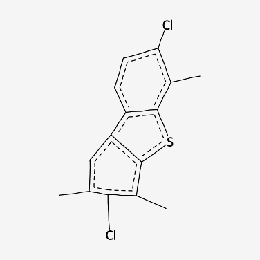 Cc1cc2c(sc3c(C)c(Cl)ccc32)c(C)c1Cl